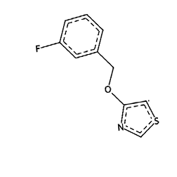 Fc1cccc(COc2[c]scn2)c1